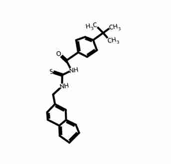 CC(C)(C)c1ccc(C(=O)NC(=S)NCc2ccc3ccccc3c2)cc1